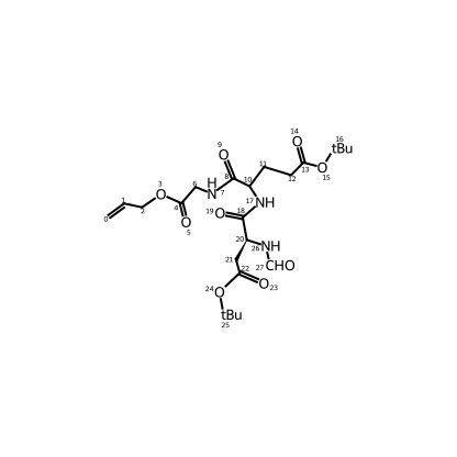 C=CCOC(=O)CNC(=O)C(CCC(=O)OC(C)(C)C)NC(=O)[C@H](CC(=O)OC(C)(C)C)NC=O